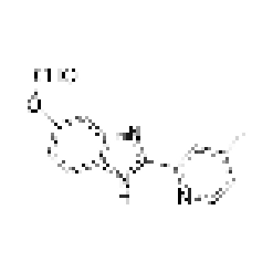 Cc1ccnc(-c2nc3cc(OC=O)ccc3[nH]2)c1